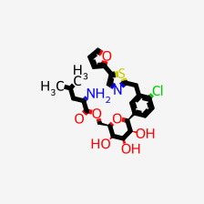 CC(C)CC(N)C(=O)OC[C@H]1O[C@@H](c2ccc(Cl)c(Cc3ncc(-c4ccco4)s3)c2)[C@H](O)[C@@H](O)[C@@H]1O